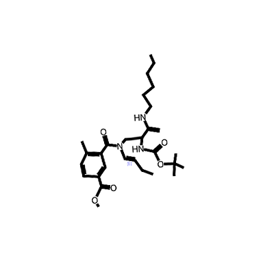 C=C(NCCCCCC)C(CN(/C=C/CC)C(=O)c1cc(C(=O)OC)ccc1C)NC(=O)OC(C)(C)C